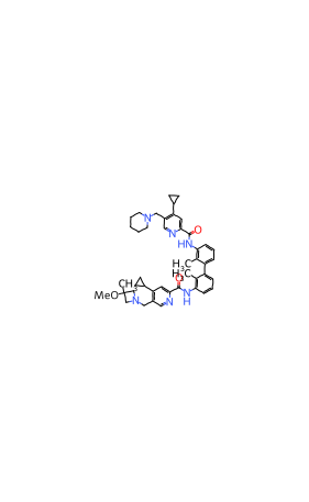 COC1(C)CN(Cc2cnc(C(=O)Nc3cccc(-c4cccc(NC(=O)c5cc(C6CC6)c(CN6CCCCC6)cn5)c4C)c3C)cc2C2CC2)C1